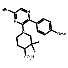 CCCCc1cnc(-c2ccc(OC)cc2)c(N2CCC(C(=O)O)C(F)(F)C2)n1